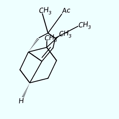 CC(=O)C1(C)C[C@]23C[C@H](CCC2(C)C)C3=CC1C